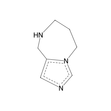 c1ncn2c1CNCCC2